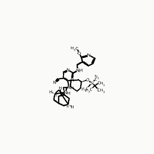 COc1ncccc1CNc1ncc(C#N)c(NC[C@]23CC4C[C@H](C2)[C@@H](NC[C@H]2CC[C@H](O[Si](C)(C)C(C)(C)C)CC2)[C@@H](C4)C3)n1